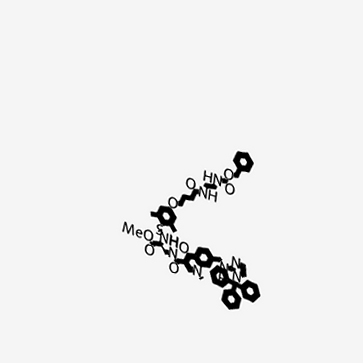 COC(=O)[C@H](CNC(=O)c1cn(C)c2cc(CNc3nccn3C(c3ccccc3)(c3ccccc3)c3ccccc3)ccc2c1=O)NSc1c(C)cc(OCCCC(=O)NCCNC(=O)OCc2ccccc2)cc1C